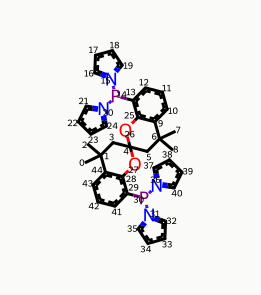 CC1(C)CC2(CC(C)(C)c3cccc(P(n4cccc4)n4cccc4)c3O2)Oc2c(P(n3cccc3)n3cccc3)cccc21